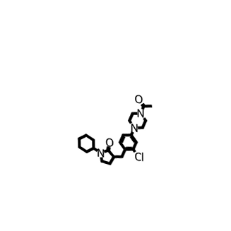 CC(=O)N1CCN(c2ccc(CC3CCN(C4CCCCC4)C3=O)c(Cl)c2)CC1